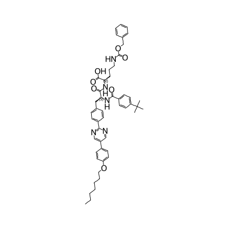 CCCCCCCOc1ccc(-c2cnc(-c3ccc(C[C@H](NC(=O)c4ccc(C(C)(C)C)cc4)C(=O)N[C@H](CCCNC(=O)OCc4ccccc4)C(=O)O)cc3)nc2)cc1